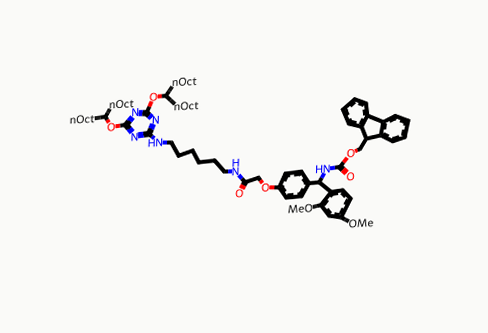 CCCCCCCCC(CCCCCCCC)Oc1nc(NCCCCCCNC(=O)COc2ccc(C(NC(=O)OCC3c4ccccc4-c4ccccc43)c3ccc(OC)cc3OC)cc2)nc(OC(CCCCCCCC)CCCCCCCC)n1